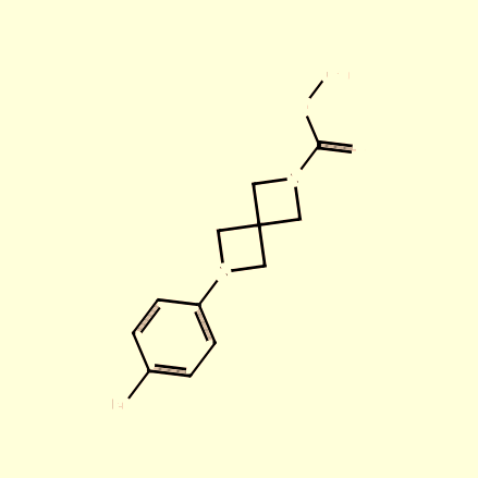 CC(C)(C)OC(=O)N1CC2(C1)CN(c1ccc(Br)cc1)C2